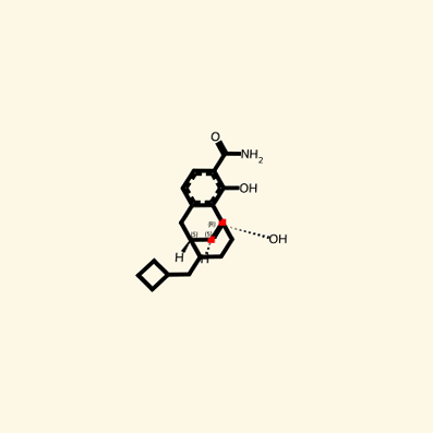 NC(=O)c1ccc2c(c1O)C13CCC(CC4CCC4)[C@H](C2)[C@@H]1CC[C@@H](O)C3